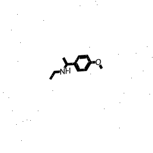 CCN[C](C)c1ccc(OC)cc1